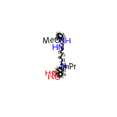 CCCN(CCCCCCNCCNc1ccccc1OC)[C@H]1CCc2c(ccc(O)c2O)C1